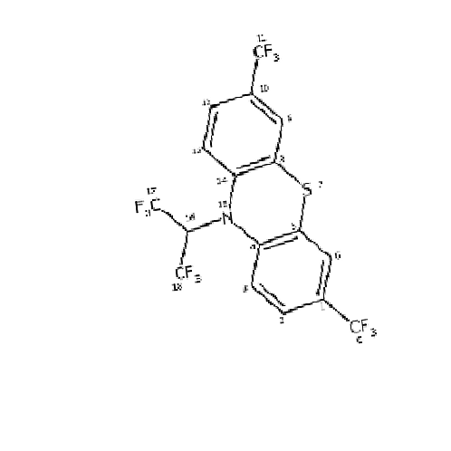 FC(F)(F)c1ccc2c(c1)Sc1cc(C(F)(F)F)ccc1N2C(C(F)(F)F)C(F)(F)F